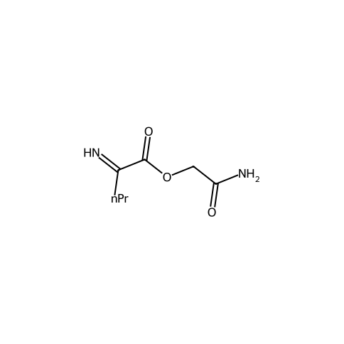 CCCC(=N)C(=O)OCC(N)=O